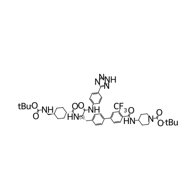 CC(C)(C)OC(=O)NC[C@H]1CC[C@H](C(=O)N[C@@H](Cc2ccc(-c3ccc(C(=O)NC4CCN(C(=O)OC(C)(C)C)CC4)c(C(F)(F)F)c3)cc2)C(=O)Nc2ccc(-c3nn[nH]n3)cc2)CC1